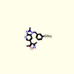 CSc1cccc(Cn2c(C)nc3ncc(-c4c(C)noc4C)cc32)c1